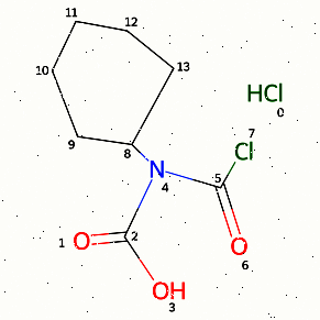 Cl.O=C(O)N(C(=O)Cl)C1CCCCC1